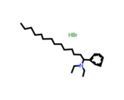 Br.CCCCCCCCCCCCCC(c1ccccc1)N(CC)CC